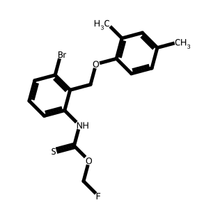 Cc1ccc(OCc2c(Br)cccc2NC(=S)OCF)c(C)c1